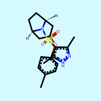 Cc1ccc(O[C@H]2C[C@H]3CC[C@@H](C2)N3S(=O)(=O)c2c(C)n[nH]c2C)cc1